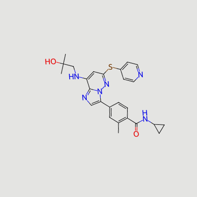 Cc1cc(-c2cnc3c(NCC(C)(C)O)cc(Sc4ccncc4)nn23)ccc1C(=O)NC1CC1